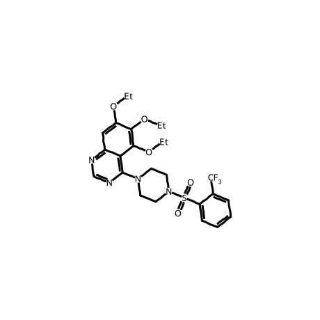 CCOc1cc2ncnc(N3CCN(S(=O)(=O)c4ccccc4C(F)(F)F)CC3)c2c(OCC)c1OCC